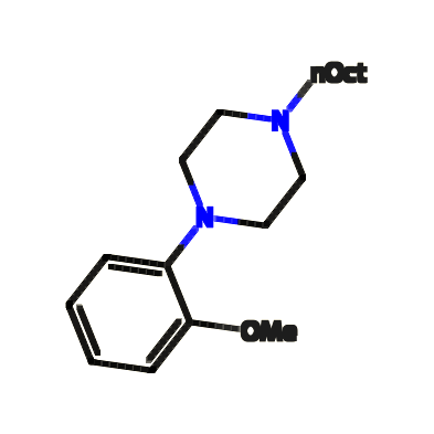 CCCCCCCCN1CCN(c2ccccc2OC)CC1